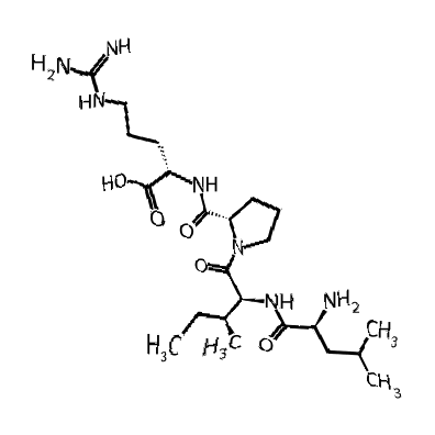 CC[C@H](C)[C@H](NC(=O)[C@@H](N)CC(C)C)C(=O)N1CCC[C@H]1C(=O)N[C@@H](CCCNC(=N)N)C(=O)O